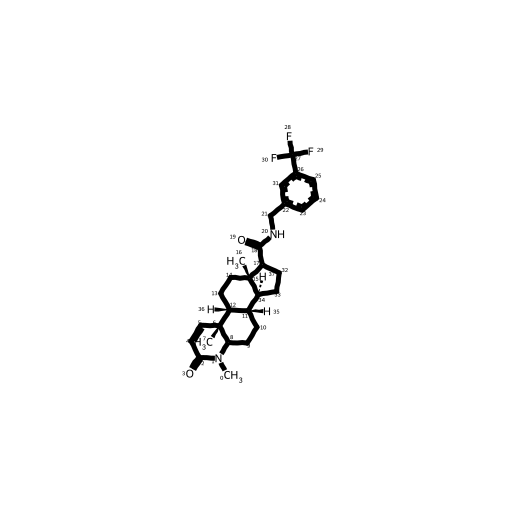 CN1C(=O)C=C[C@@]2(C)C1CC[C@@H]1[C@H]2CC[C@]2(C)C(C(=O)NCc3cccc(C(F)(F)F)c3)CC[C@@H]12